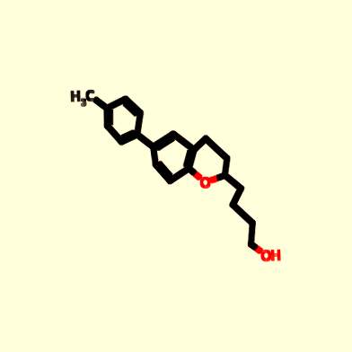 Cc1ccc(-c2ccc3c(c2)CCC(CCCCO)O3)cc1